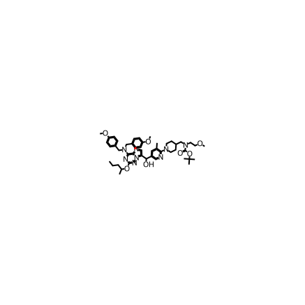 CCCC(C)Oc1nc(N(Cc2ccc(OC)cc2)Cc2ccc(OC)cc2)c2ncc(C(O)c3cnc(N4CCC(CN(CCOC)C(=O)OC(C)(C)C)CC4)c(C)c3)n2n1